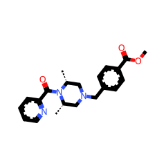 COC(=O)c1ccc(CN2C[C@@H](C)N(C(=O)c3ccccn3)[C@@H](C)C2)cc1